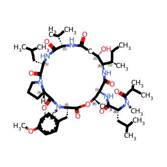 CC[C@H](C)[C@H]1NC(=O)[C@@H](NC(=O)[C@@H](CC(C)C)N(C)C(=O)C(C)C)[C@@H](C)OC(=O)[C@H](Cc2ccc(OC)cc2)N(C)C(=O)[C@@H]2CCCN2C(=O)[C@H](CC(C)C)NC(=O)[C@H](C(C)C)NC(=O)C[C@@H]1O